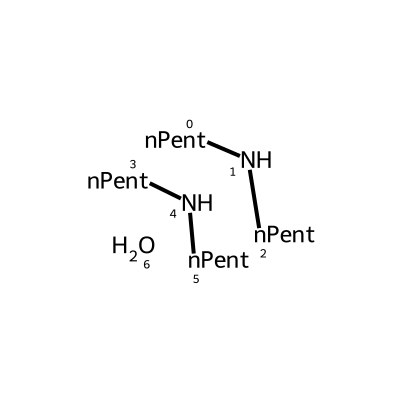 CCCCCNCCCCC.CCCCCNCCCCC.O